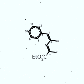 CCOC(=O)C(C)=CC(C)=Cc1ccccc1